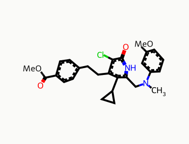 COC(=O)c1ccc(CCc2c(C3CC3)c(CN(C)c3cccc(OC)c3)[nH]c(=O)c2Cl)cc1